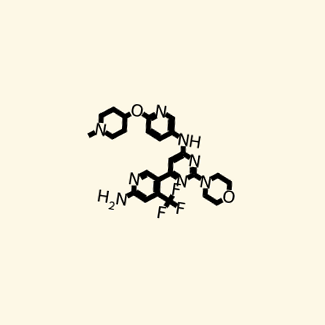 CN1CCC(Oc2ccc(Nc3cc(-c4cnc(N)cc4C(F)(F)F)nc(N4CCOCC4)n3)cn2)CC1